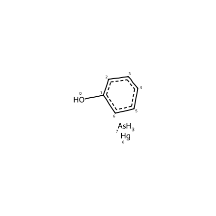 Oc1ccccc1.[AsH3].[Hg]